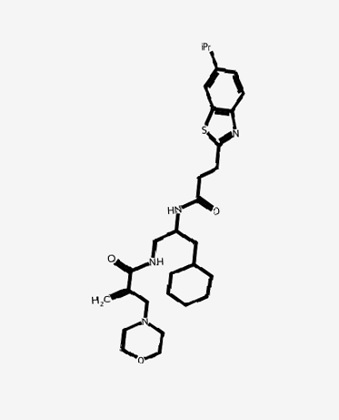 C=C(CN1CCOCC1)C(=O)NCC(CC1CCCCC1)NC(=O)CCc1nc2ccc(C(C)C)cc2s1